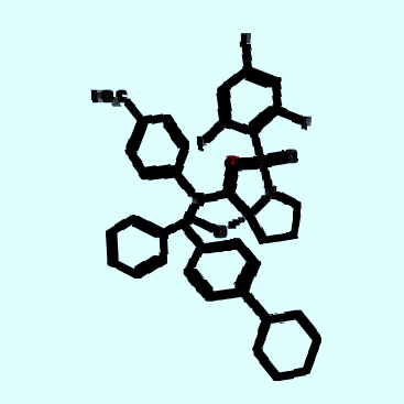 O=C(O)c1ccc(N(Cc2ccc(C3CCCCC3)cc2)C(=O)[C@]2(OCc3ccccc3)CCCN2S(=O)(=O)c2c(F)cc(F)cc2F)cc1